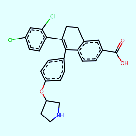 O=C(O)c1ccc2c(c1)CCC(c1ccc(Cl)cc1Cl)=C2c1ccc(OC2CCNC2)cc1